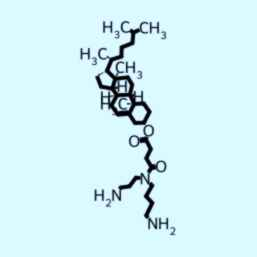 CC(C)CCC[C@@H](C)[C@H]1CC[C@H]2[C@@H]3CC=C4C[C@@H](OC(=O)CCC(=O)N(CCCN)CCCCN)CC[C@]4(C)[C@H]3CC[C@]12C